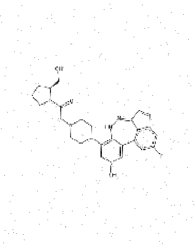 CN1C=C2C(=C(C3CCN(CC(=O)N4CCC[C@H]4CO)CC3)C1)NN=C1C=Cc3cc(F)cc2c31